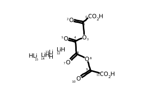 O=C(O)C(=O)OC(=O)C(=O)OC(=O)C(=O)O.[LiH].[LiH].[LiH].[LiH]